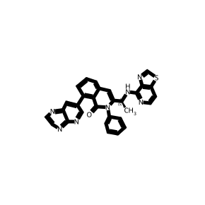 C[C@H](Nc1nccc2scnc12)c1cc2cccc(-c3cnc4nccnc4c3)c2c(=O)n1-c1ccccc1